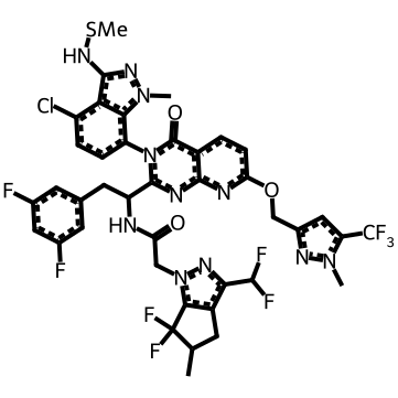 CSNc1nn(C)c2c(-n3c(C(Cc4cc(F)cc(F)c4)NC(=O)Cn4nc(C(F)F)c5c4C(F)(F)C(C)C5)nc4nc(OCc5cc(C(F)(F)F)n(C)n5)ccc4c3=O)ccc(Cl)c12